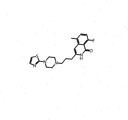 Cc1ccc(F)c2c(=O)[nH]c(CCCN3CCN(c4nccs4)CC3)cc12